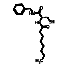 CCCCCCCC(=O)N[C@@H](CS)C(=O)NCc1ccccc1